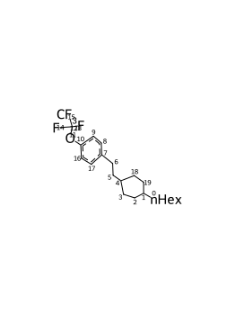 CCCCCCC1CCC(CCc2ccc(OC(F)(F)C(F)(F)F)cc2)CC1